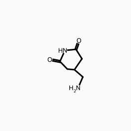 NCC1CC(=O)NC(=O)C1